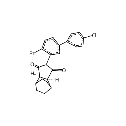 CCc1ccc(-c2ccc(Cl)cc2)cc1C1C(=O)[C@@H]2C3CCC(CC3)[C@@H]2C1=O